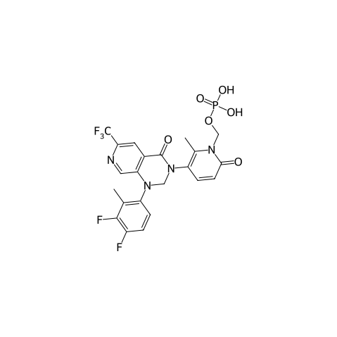 Cc1c(N2CN(c3ccc(=O)n(COP(=O)(O)O)c3C)C(=O)c3cc(C(F)(F)F)ncc32)ccc(F)c1F